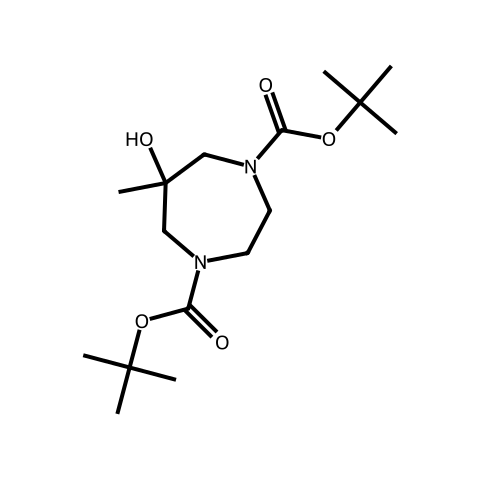 CC1(O)CN(C(=O)OC(C)(C)C)CCN(C(=O)OC(C)(C)C)C1